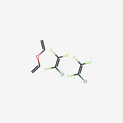 C=COC=C.FC(F)=C(F)Cl.FC(F)=C(F)Cl